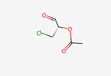 CC(=O)O[C@@H](C=O)CCl